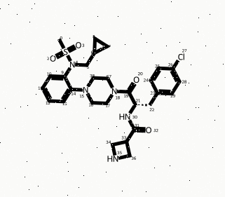 CS(=O)(=O)N(CC1CC1)c1ccccc1N1CCN(C(=O)[C@H](Cc2ccc(Cl)cc2)NC(=O)C2CNC2)CC1